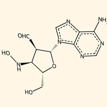 Nc1ncnc2c1ncn2[C@@H]1O[C@H](CO)[C@@H](NO)[C@H]1C=O